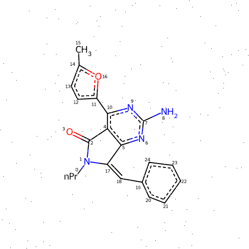 CCCN1C(=O)c2c(nc(N)nc2-c2ccc(C)o2)/C1=C\c1ccccc1